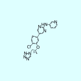 C[C@@H](Cn1cnnn1)Oc1cc(-c2cnc(Nc3cccnc3)nc2)ccc1Cl